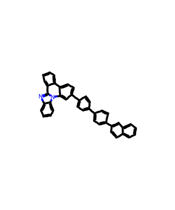 c1ccc2cc(-c3ccc(-c4ccc(-c5ccc6c7ccccc7c7nc8ccccc8n7c6c5)cc4)cc3)ccc2c1